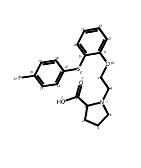 O=C(O)C1CCCN1CCOc1ccccc1Sc1ccc(F)cc1